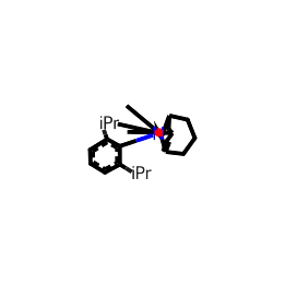 CC1C=C2CCCC(C1)C21CN(c2c(C(C)C)cccc2C(C)C)C(C)(C)C1